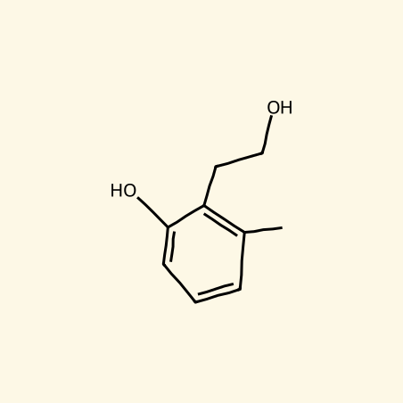 Cc1cccc(O)c1CCO